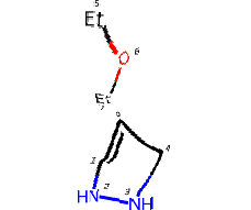 C1=CNNC1.CCOCC